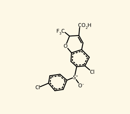 O=C(O)C1=Cc2cc(Cl)c([S+]([O-])c3ccc(Cl)cc3)cc2OC1C(F)(F)F